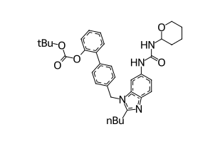 CCCCc1nc2ccc(NC(=O)NC3CCCCO3)cc2n1Cc1ccc(-c2ccccc2OC(=O)OC(C)(C)C)cc1